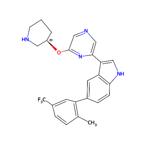 Cc1ccc(C(F)(F)F)cc1-c1ccc2[nH]cc(-c3cncc(O[C@@H]4CCCNC4)n3)c2c1